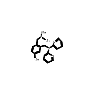 CC(C)(C)c1ccc(CP(C(C)(C)C)C(C)(C)C)c(CP(c2ccccn2)c2ccccn2)c1